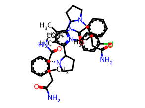 Cc1c(C)c(C2CCCN2[C@@]2(C(=O)NC(=O)O)c3ccc(cc3)C2(C)CC(N)=O)n(-c2ccc(Cl)cc2)c1C1CCCN1[C@@]1(C(=O)NC(=O)O)c2ccc(cc2)C1(C)CC(N)=O